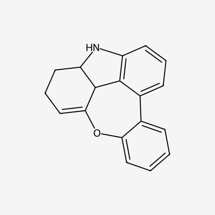 C1=C2Oc3ccccc3-c3cccc4c3C2C(CC1)N4